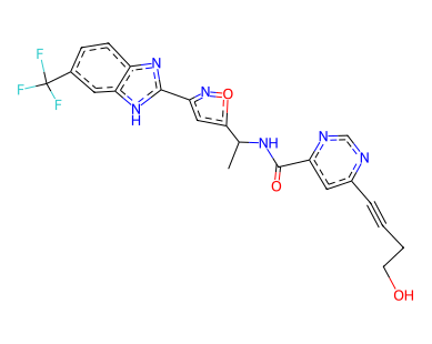 CC(NC(=O)c1cc(C#CCCO)ncn1)c1cc(-c2nc3ccc(C(F)(F)F)cc3[nH]2)no1